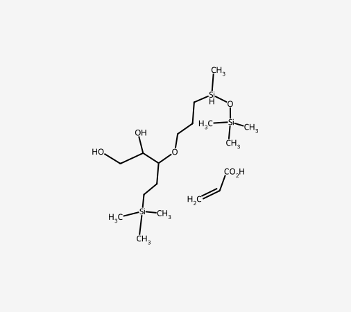 C=CC(=O)O.C[SiH](CCCOC(CC[Si](C)(C)C)C(O)CO)O[Si](C)(C)C